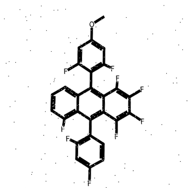 COc1cc(F)c(-c2c3cccc(F)c3c(-c3ccc(F)cc3F)c3c(F)c(F)c(F)c(F)c23)c(F)c1